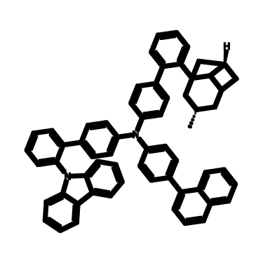 C[C@H]1CC2C[C@H]3CC(c4ccccc4-c4ccc(N(c5ccc(-c6ccccc6-n6c7ccccc7c7ccccc76)cc5)c5ccc(-c6cccc7ccccc67)cc5)cc4)(C1)C23